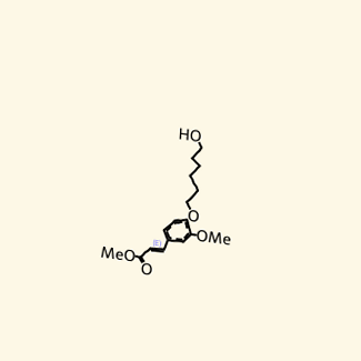 COC(=O)/C=C/c1ccc(OCCCCCCO)c(OC)c1